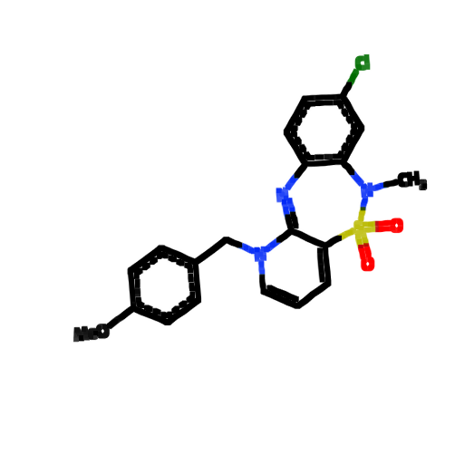 COc1ccc(CN2C=CC=C3C2=Nc2ccc(Cl)cc2N(C)S3(=O)=O)cc1